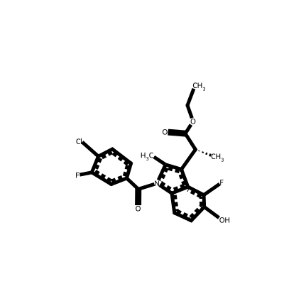 CCOC(=O)[C@H](C)c1c(C)n(C(=O)c2ccc(Cl)c(F)c2)c2ccc(O)c(F)c12